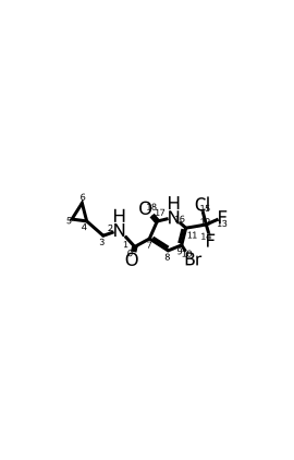 O=C(NCC1CC1)c1cc(Br)c(C(F)(F)Cl)[nH]c1=O